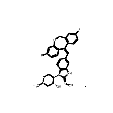 CN1CC[C@@H](n2c(=NC#N)[nH]c3cc(C=C4c5ccc(F)cc5COc5cc(F)ccc54)ccc32)[C@H](O)C1